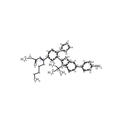 CCCCC/C(=C\C(=O)OC)c1ccc(-n2cncn2)c(-c2nc3cc(-c4cnc(N)nc4)ccc3n2C(C)(C)C)c1